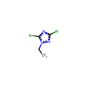 FC(F)(F)Cn1nc(Br)nc1Br